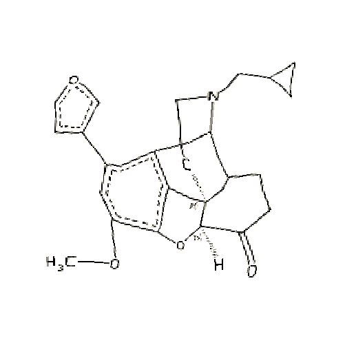 COc1cc(-c2ccoc2)c2c3c1O[C@@H]1C(=O)CCC4C5N(CC6CC6)CC25C[C@]341